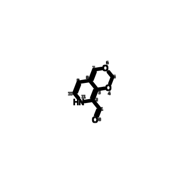 O=CC1=C2OCOC=C2C=CN1